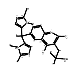 CCc1nc2ccc(C(C)(c3cnc(C)n3C)c3cnc(C)n3C)cc2c(Cl)c1CC(C)(C)C(C)(C)C